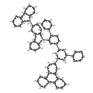 c1ccc(-c2nc(-c3ccc(-c4ccccc4)c(-n4c5ccccc5c5cc(-n6c7ccccc7c7ccccc76)ccc54)c3)nc(-c3ccc4c5ccccc5c5ccccc5c4c3)n2)cc1